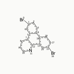 Brc1ccc2c(c1)c1cccnc1c1cc(Br)ccc21